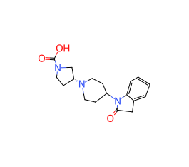 O=C(O)N1CC[C@@H](N2CCC(N3C(=O)Cc4ccccc43)CC2)C1